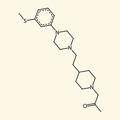 CSc1cccc(N2CCN(CCC3CCN(CC(C)=O)CC3)CC2)c1